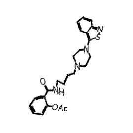 CC(=O)Oc1ccccc1C(=O)NCCCCN1CCN(c2snc3ccccc23)CC1